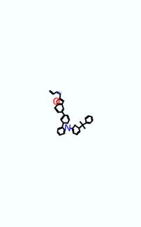 C=C/C=C\c1cc2cc(C3=CC4c5ccccc5N(C5=CC=CC(C(C)(C)c6ccccc6)C5)C4C=C3)ccc2o1